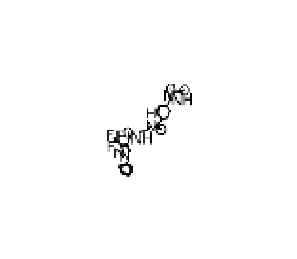 O=C(NCCNC(=O)C1CCC(c2noc(=O)[nH]2)CC1)c1cn(-c2ccccc2)nc1C(F)(F)F